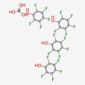 OB(O)O.Oc1c(F)c(F)c(F)c(F)c1F.Oc1c(F)c(F)c(F)c(F)c1F.Oc1c(F)c(F)c(F)c(F)c1F.Oc1c(F)c(F)c(F)c(F)c1F